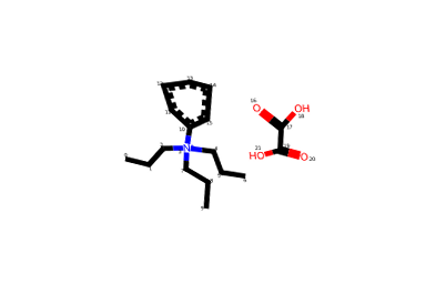 CCC[N+](CCC)(CCC)c1ccccc1.O=C(O)C(=O)O